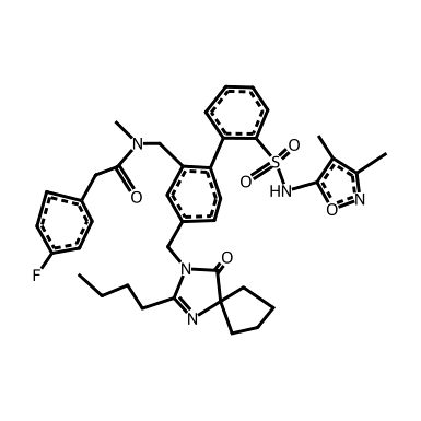 CCCCC1=NC2(CCCC2)C(=O)N1Cc1ccc(-c2ccccc2S(=O)(=O)Nc2onc(C)c2C)c(CN(C)C(=O)Cc2ccc(F)cc2)c1